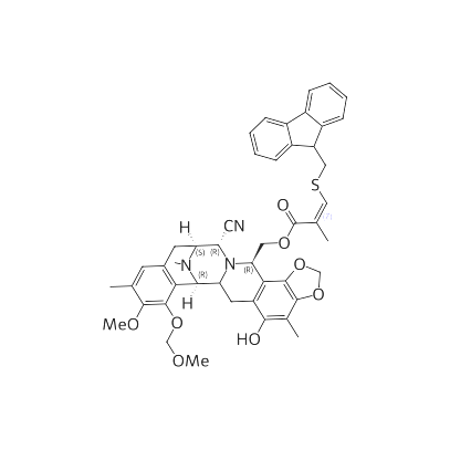 COCOc1c(OC)c(C)cc2c1[C@@H]1C3Cc4c(O)c(C)c5c(c4[C@H](COC(=O)/C(C)=C\SCC4c6ccccc6-c6ccccc64)N3[C@@H](C#N)[C@H](C2)N1C)OCO5